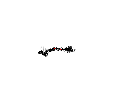 CCCCC(Cc1c[nH]c2ccccc12)NC(=O)c1cnc(N2CCN(c3ccc(OCCOCCOCCOc4ccc5c(c4)C(=O)N(C4CCC(=O)NC4=O)C5=O)cc3)CC2)s1